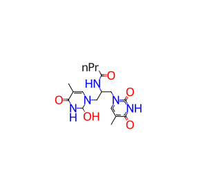 CCCC(=O)NC(CN1C=C(C)C(=O)NC1O)Cn1cc(C)c(=O)[nH]c1=O